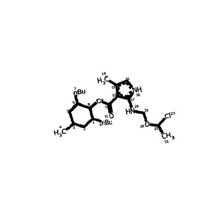 CCCCC1CC(C)CC(CCCC)C1OC(=O)c1c(C)c[nH]c1NCOC(C)Cl